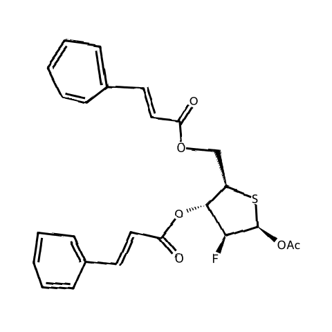 CC(=O)O[C@@H]1S[C@H](COC(=O)C=Cc2ccccc2)[C@@H](OC(=O)C=Cc2ccccc2)[C@@H]1F